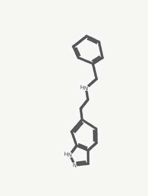 c1ccc(CNCCc2ccc3cn[nH]c3c2)cc1